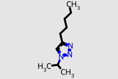 CCCCCc1cn(C(C)C)nn1